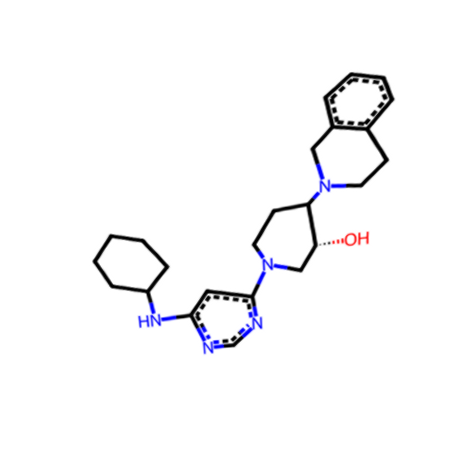 O[C@@H]1CN(c2cc(NC3CCCCC3)ncn2)CCC1N1CCc2ccccc2C1